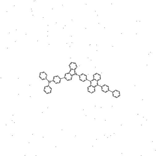 c1ccc(-c2ccc(-c3c4ccccc4c(-c4ccc(-n5c6ccccc6c6cc(-c7ccc(N(c8ccccc8)c8ccccc8)cc7)ccc65)cc4)c4ccccc34)cc2)cc1